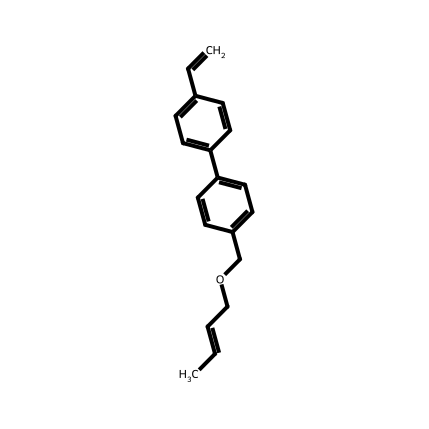 C=Cc1ccc(-c2ccc(COCC=CC)cc2)cc1